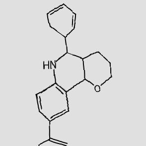 C=C(C)c1ccc2c(c1)C1OCCCC1C(C1C=CC=CC1)N2